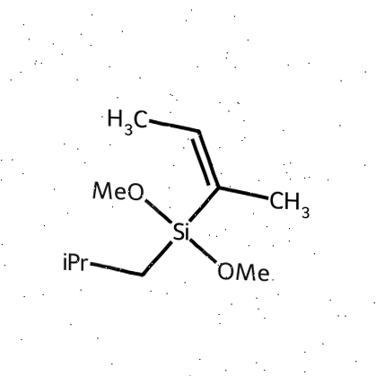 C/C=C(/C)[Si](CC(C)C)(OC)OC